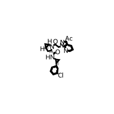 CC(=O)c1nn(CC(=O)N2[C@@H]3C[C@@H]3C[C@H]2C(=O)NC2C[C@H]2c2cccc(Cl)c2)c2ncccc12